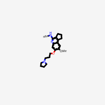 CCCNc1nc2cc(OCCCN3CCCC3)c(OC)cc2c2c1CCC2